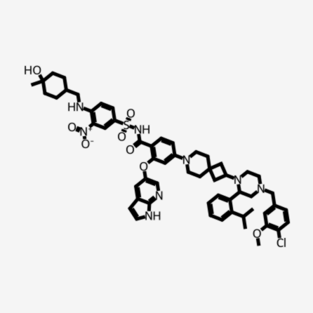 COc1cc(CN2CCN(C3CC4(CCN(c5ccc(C(=O)NS(=O)(=O)c6ccc(NCC7CCC(C)(O)CC7)c([N+](=O)[O-])c6)c(Oc6cnc7[nH]ccc7c6)c5)CC4)C3)C(c3ccccc3C(C)C)C2)ccc1Cl